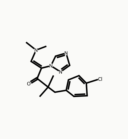 CN(C)C=C(C(=O)C(C)(C)Cc1ccc(Cl)cc1)n1cncn1